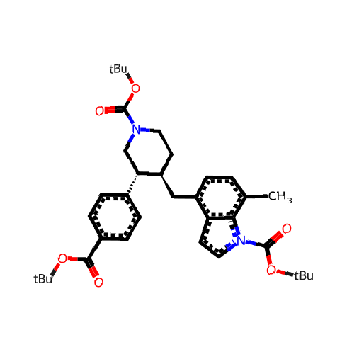 Cc1ccc(C[C@@H]2CCN(C(=O)OC(C)(C)C)C[C@H]2c2ccc(C(=O)OC(C)(C)C)cc2)c2ccn(C(=O)OC(C)(C)C)c12